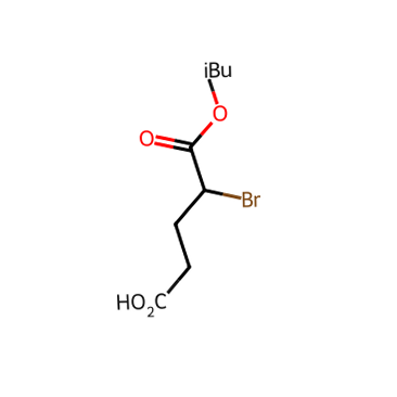 CCC(C)OC(=O)C(Br)CCC(=O)O